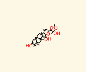 CC(=O)O[C@@H]([C@H]1C[C@@H](C)C2C(O1)[C@H](O)[C@@]1(C)[C@@H]3CC[C@H]4C(C)(C)[C@@H](O)CC[C@@]45C[C@@]35CC[C@]21C)C(C)(C)O